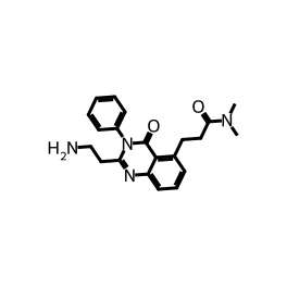 CN(C)C(=O)CCc1cccc2nc(CCN)n(-c3ccccc3)c(=O)c12